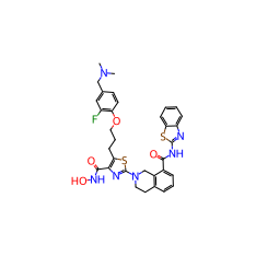 CN(C)Cc1ccc(OCCCc2sc(N3CCc4cccc(C(=O)Nc5nc6ccccc6s5)c4C3)nc2C(=O)NO)c(F)c1